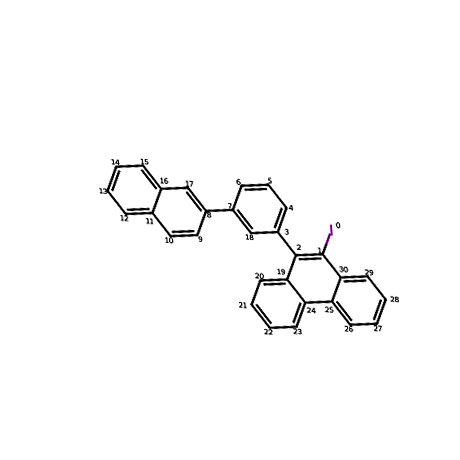 Ic1c(-c2cccc(-c3ccc4ccccc4c3)c2)c2ccccc2c2ccccc12